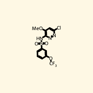 COc1cc(Cl)nnc1NS(=O)(=O)c1cccc(OC(F)(F)F)c1